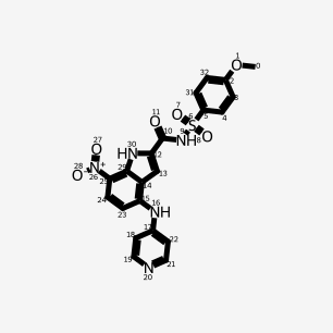 COc1ccc(S(=O)(=O)NC(=O)c2cc3c(Nc4ccncc4)ccc([N+](=O)[O-])c3[nH]2)cc1